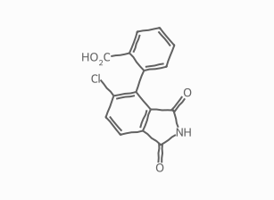 O=C(O)c1ccccc1-c1c(Cl)ccc2c1C(=O)NC2=O